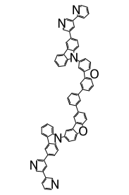 c1ccc(-c2cncc(-c3ccc4c(c3)c3ccccc3n4-c3ccc4oc5ccc(-c6cccc(-c7ccc8oc9ccc(-n%10c%11ccccc%11c%11cc(-c%12cncc(-c%13cccnc%13)c%12)ccc%11%10)cc9c8c7)c6)cc5c4c3)c2)nc1